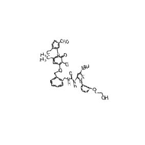 Cc1ccc(C=O)cc1-n1c(C)cc(OCc2ccccc2CNC(=O)Nc2cc(C(C)(C)C)nn2-c2cccc(OCCO)c2)c(Cl)c1=O